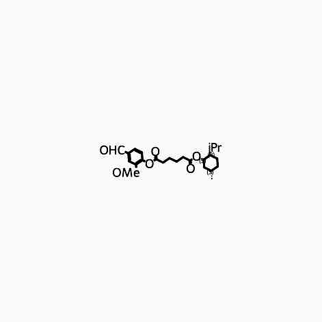 COc1cc(C=O)ccc1OC(=O)CCCCC(=O)O[C@H]1C[C@@H](C)CC[C@@H]1C(C)C